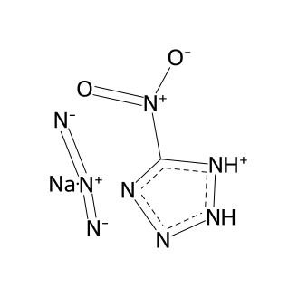 O=[N+]([O-])c1nn[nH][nH+]1.[N-]=[N+]=[N-].[Na]